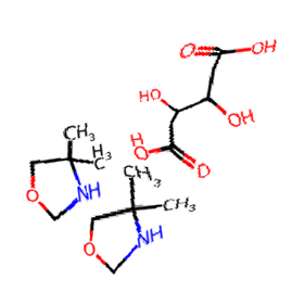 CC1(C)COCN1.CC1(C)COCN1.O=C(O)C(O)C(O)C(=O)O